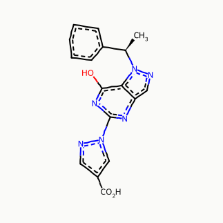 C[C@H](c1ccccc1)n1ncc2nc(-n3cc(C(=O)O)cn3)nc(O)c21